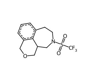 O=S(=O)(N1CCc2cccc3c2C(COC3)C1)C(F)(F)F